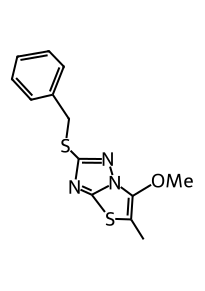 COc1c(C)sc2nc(SCc3ccccc3)nn12